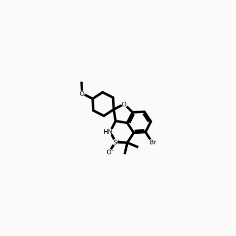 COC1CCC2(CC1)Oc1ccc(Br)c3c1C2N[S+]([O-])C3(C)C